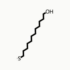 OCCCCCCCCCCCC[S]